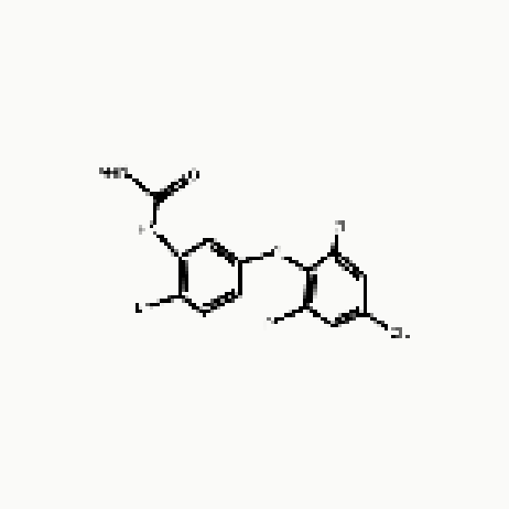 CNC(=O)Nc1cc(Oc2c(F)cc(C(F)(F)F)cc2Cl)ccc1Br